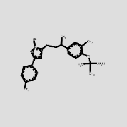 CCOC(=O)C(C)(C)Oc1ccc(C(C)CCc2cc(-c3ccc(C(F)(F)F)cc3)nn2C(C)C)cc1C